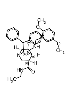 CCNC(=O)[C@H]1CN2CC[C@@H]1[C@H](NCc1cc(OC)ccc1OC)[C@@H]2C(c1ccccc1)c1ccccc1